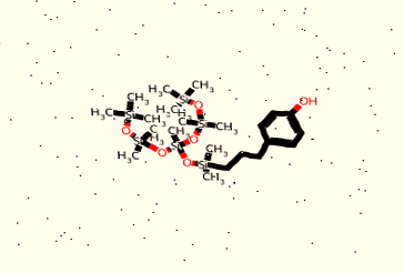 C[Si](C)(C)O[Si](C)(C)O[Si](C)(O[Si](C)(C)CCCc1ccc(O)cc1)O[Si](C)(C)O[Si](C)(C)C